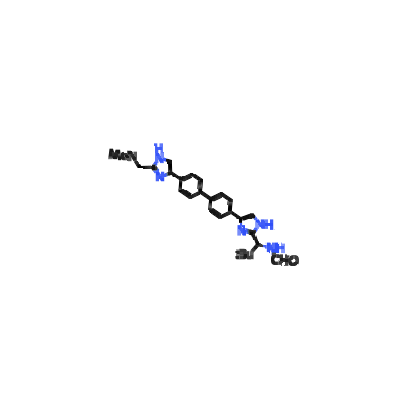 CNCc1nc(-c2ccc(-c3ccc(-c4c[nH]c(C(NC=O)C(C)(C)C)n4)cc3)cc2)c[nH]1